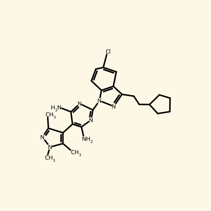 Cc1nn(C)c(C)c1-c1c(N)nc(-n2nc(CCC3CCCC3)c3cc(Cl)ccc32)nc1N